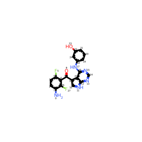 Nc1ccc(F)c(C(=O)c2c[nH]c3ncnc(Nc4cccc(O)c4)c23)c1F